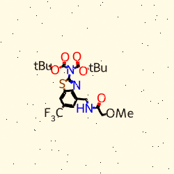 COCC(=O)NCc1cc(C(F)(F)F)cc2sc(N(C(=O)OC(C)(C)C)C(=O)OC(C)(C)C)nc12